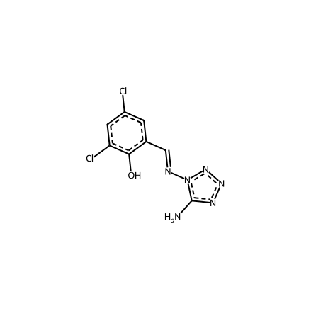 Nc1nnnn1N=Cc1cc(Cl)cc(Cl)c1O